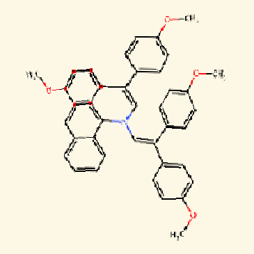 COc1ccc(C(=CN(C=C(c2ccc(OC)cc2)c2ccc(OC)cc2)c2c3ccccc3cc3ccccc23)c2ccc(OC)cc2)cc1